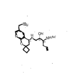 C=CC[C@H](NC(C)=O)[C@@H](O)CN[C@H]1CC2(CCC2)Oc2ncc(CC(C)(C)C)cc21